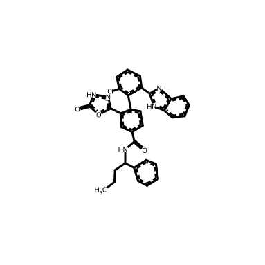 CCCC(NC(=O)c1ccc(-c2c(Cl)cccc2-c2nc3ccccc3[nH]2)c(-c2n[nH]c(=O)o2)c1)c1ccccc1